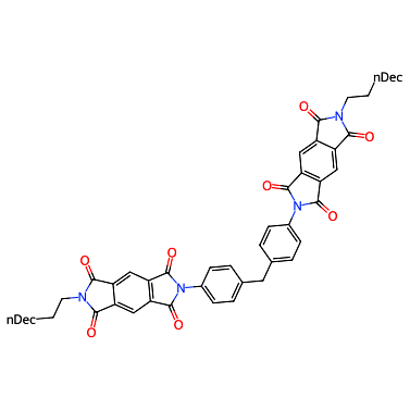 CCCCCCCCCCCCn1c(=O)c2cc3c(=O)n(-c4ccc(Cc5ccc(-n6c(=O)c7cc8c(=O)n(CCCCCCCCCCCC)c(=O)c8cc7c6=O)cc5)cc4)c(=O)c3cc2c1=O